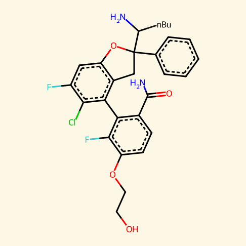 CCCCC(N)C1(c2ccccc2)Cc2c(cc(F)c(Cl)c2-c2c(C(N)=O)ccc(OCCO)c2F)O1